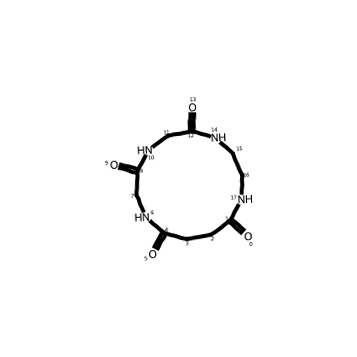 O=C1CCC(=O)NCC(=O)NCC(=O)NCCN1